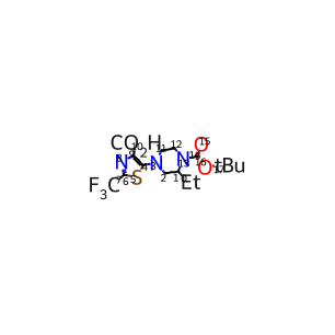 CCC1CN(c2sc(C(F)(F)F)nc2C(=O)O)CCN1C(=O)OC(C)(C)C